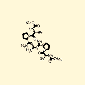 COC(=O)N[C@H](C(=O)N1CCC[C@H]1/C(N)=N/C(C)/N=C(\N)[C@@H]1CCCN1C(=O)[C@@H](NC(=O)OC)C(C)C)C(C)C